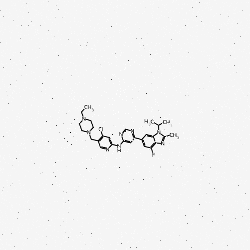 CCN1CCN(Cc2cnc(Nc3cc(-c4cc(F)c5nc(C)n(C(C)C)c5c4)ncn3)cc2Cl)CC1